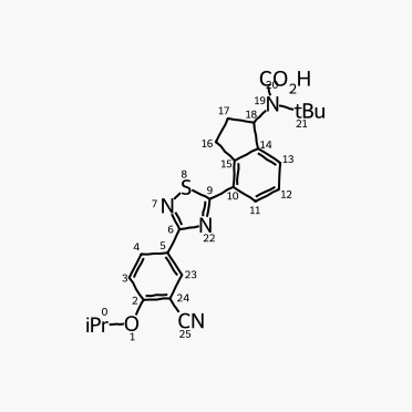 CC(C)Oc1ccc(-c2nsc(-c3cccc4c3CCC4N(C(=O)O)C(C)(C)C)n2)cc1C#N